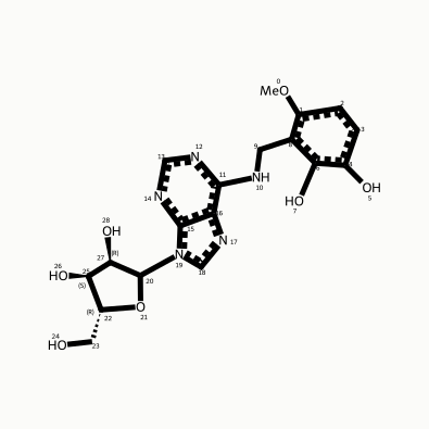 COc1ccc(O)c(O)c1CNc1ncnc2c1ncn2C1O[C@H](CO)[C@@H](O)[C@H]1O